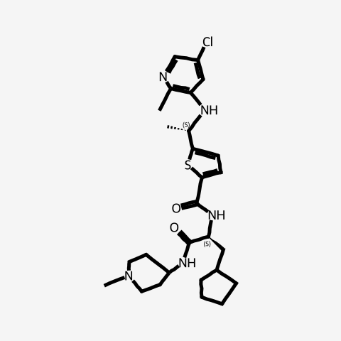 Cc1ncc(Cl)cc1N[C@@H](C)c1ccc(C(=O)N[C@@H](CC2CCCC2)C(=O)NC2CCN(C)CC2)s1